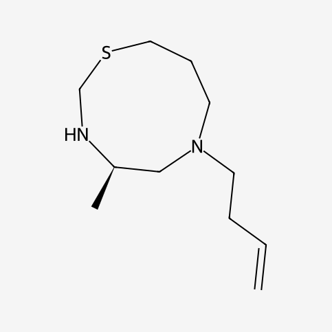 C=CCCN1CCCSCN[C@H](C)C1